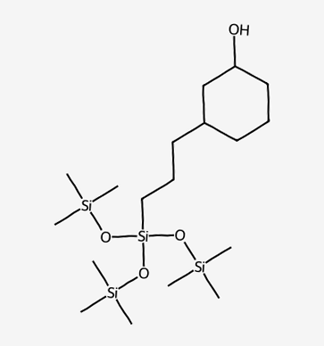 C[Si](C)(C)O[Si](CCCC1CCCC(O)C1)(O[Si](C)(C)C)O[Si](C)(C)C